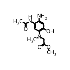 COC(=O)CN(C)c1cc(NC(C)=O)c(N)cc1O